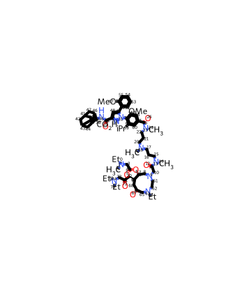 CCN(C)CC(=O)O[C@H]1CN(CC(=O)N(C)CCCN(C)CCCN(C)C(=O)c2ccc(-n3nc(C(=O)NC4(C(=O)O)C5CC6CC(C5)CC4C6)cc3-c3c(OC)cccc3OC)c(C(C)C)c2)CCN(CC)CC(=O)C[C@H]1CC(=O)CN(CC)CC